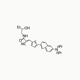 CCCN(CCC)c1ccc2cc(-c3ccc(/C=C(\C#N)C(=O)NCC(O)CC)s3)ccc2c1